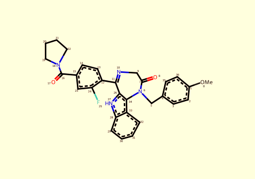 COc1ccc(CN2C(=O)CN=C(c3ccc(C(=O)N4CCCC4)cc3F)c3[nH]c4ccccc4c32)cc1